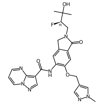 Cn1cc(COc2cc3c(cc2NC(=O)c2cnn4cccnc24)CN(C[C@@H](F)C(C)(C)O)C3=O)cn1